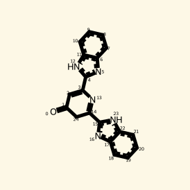 O=C1C=C(c2nc3ccccc3[nH]2)N=C(c2nc3ccccc3[nH]2)C1